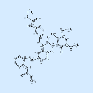 C=CC(=O)Nc1ccccc1CNc1ncc2c(n1)N(Cc1cccc(NC(=O)CC)c1)C(=O)N(c1c(Cl)c(OC)cc(OC)c1Cl)C2